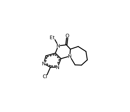 CCN1C(=O)C2CCCCCN2c2nc(Cl)ncc21